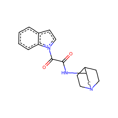 O=C(NC1CN2CCC1CC2)C(=O)n1ccc2ccccc21